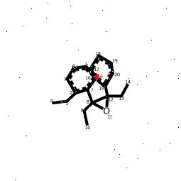 CCc1ccccc1C1(CC)OC1(CC)c1ccccc1